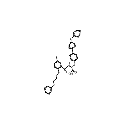 O=C(N[C@@H](Cc1ccc(-c2ccc(Oc3ccccc3)cc2)cc1)C(=O)O)c1cc(Br)ccc1OCCCCc1ccccc1